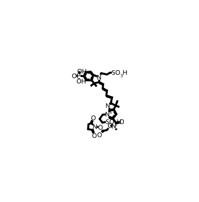 CN(OCC(=O)ON1C(=O)CCC1=O)C(=O)c1cc2c([n+](CCCS(=O)(=O)O)c1)N=C(/C=C/C=C/C=C1/N(CCCS(=O)(=O)O)c3ccc(P(=O)(O)O)cc3C1(C)C)C2(C)C